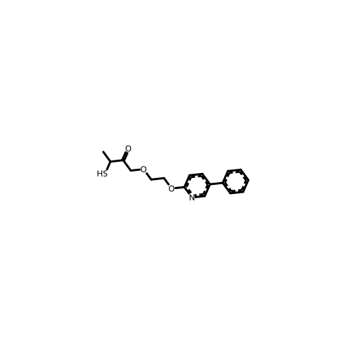 CC(S)C(=O)COCCOc1ccc(-c2ccccc2)cn1